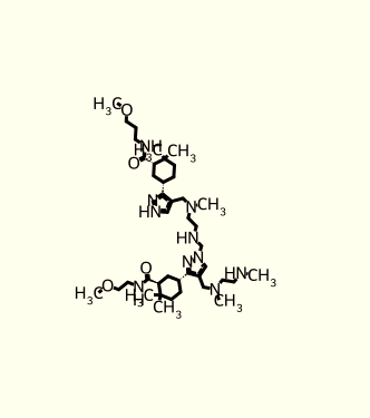 CNCCN(C)Cc1cn(CNCCN(C)Cc2c[nH]nc2[C@H]2CCC(C)(C)[C@@H](C(=O)NCCCOC)C2)nc1[C@@H]1CCC(C)(C)[C@@H](C(=O)NCCOC)C1